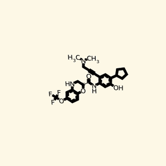 CN(C)CC#Cc1cc(C2CCCC2)c(O)cc1NC(=O)[C@H]1CNc2cc(OC(F)(F)F)ccc2O1